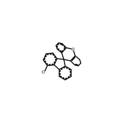 Clc1cccc2c1-c1ccccc1C21C2=C(CCC=C2)Oc2ccccc21